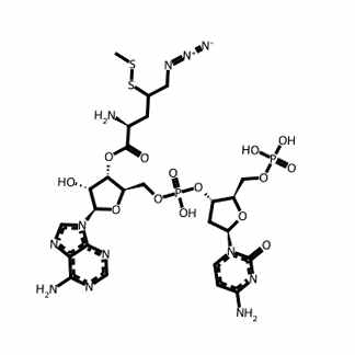 CSSC(CN=[N+]=[N-])C[C@H](N)C(=O)O[C@H]1[C@@H](O)[C@H](n2cnc3c(N)ncnc32)O[C@@H]1COP(=O)(O)O[C@H]1C[C@H](n2ccc(N)nc2=O)O[C@@H]1COP(=O)(O)O